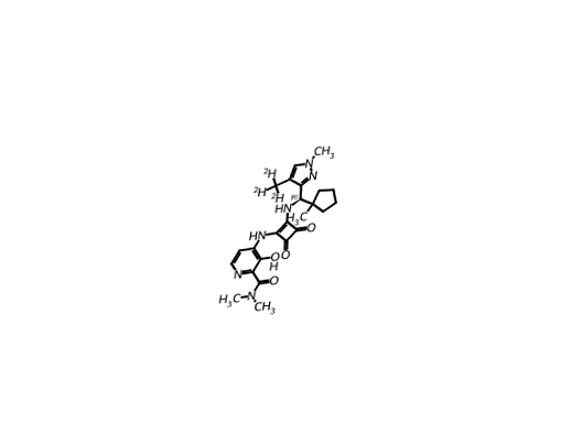 [2H]C([2H])([2H])c1cn(C)nc1[C@H](Nc1c(Nc2ccnc(C(=O)N(C)C)c2O)c(=O)c1=O)C1(C)CCCC1